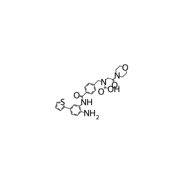 Nc1ccc(-c2cccs2)cc1NC(=O)c1ccc(CN(CC(=O)N2CCOCC2)C(=O)O)cc1